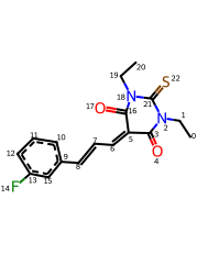 CCN1C(=O)C(=C/C=C/c2cccc(F)c2)C(=O)N(CC)C1=S